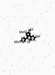 CCOc1cc2c(cc1OC)=C(c1cnc(SC)nc1)N[C@@H]1CC[C@@H](O)CC=21